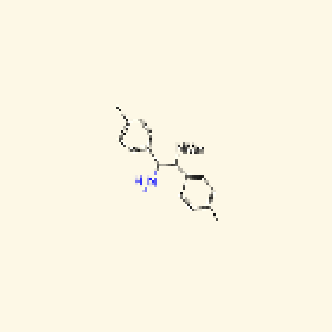 CNC(c1ccc(C)cc1)C(N)c1ccc(C)cc1